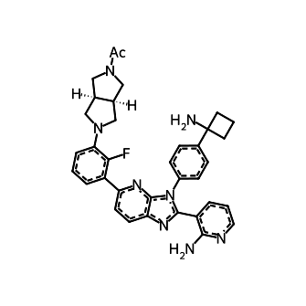 CC(=O)N1C[C@@H]2CN(c3cccc(-c4ccc5nc(-c6cccnc6N)n(-c6ccc(C7(N)CCC7)cc6)c5n4)c3F)C[C@@H]2C1